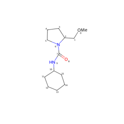 COCC1CCCN1C(=O)NC1CCCCC1